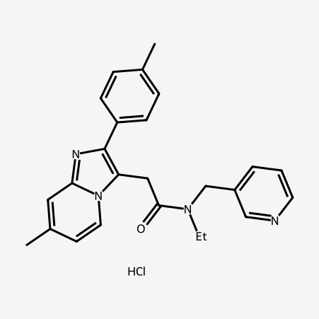 CCN(Cc1cccnc1)C(=O)Cc1c(-c2ccc(C)cc2)nc2cc(C)ccn12.Cl